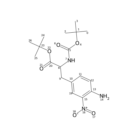 CC(C)(C)OC(=O)NC(Cc1ccc(N)c([N+](=O)[O-])c1)C(=O)OC(C)(C)C